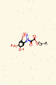 COC(=O)C(=O)Nc1cc(O)c(O)cc1O